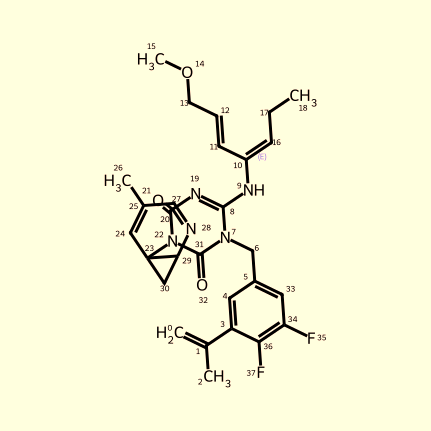 C=C(C)c1cc(Cn2c(N/C(C=CCOC)=C/CC)nc(=O)n(C34C=C(C)C=NC3C4)c2=O)cc(F)c1F